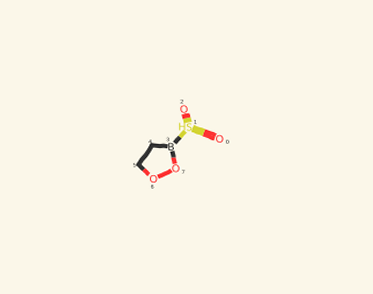 O=[SH](=O)B1CCOO1